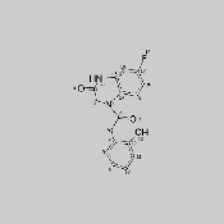 O=C1CN(C(=O)Cc2ccccc2O)c2ccc(F)cc2N1